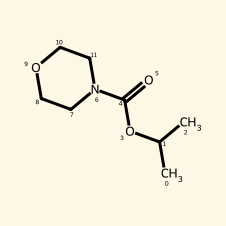 CC(C)OC(=O)N1CCOCC1